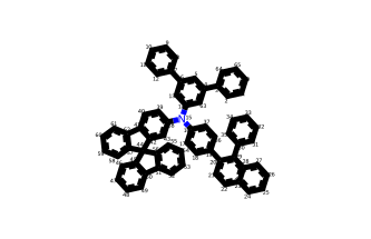 c1ccc(-c2cc(-c3ccccc3)cc(N(c3ccc(-c4ccc5ccccc5c4-c4ccccc4)cc3)c3ccc4c(c3)C3(c5ccccc5-c5ccccc53)c3ccccc3-4)c2)cc1